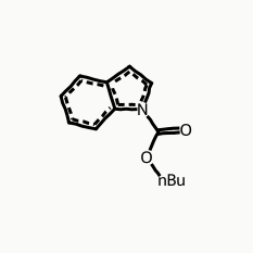 CCCCOC(=O)n1ccc2ccccc21